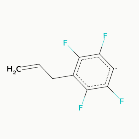 C=CCc1c(F)c(F)[c]c(F)c1F